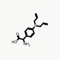 C=CCN(CC=C)c1ccc(C(N)C(=O)O)cc1